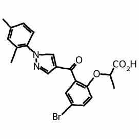 Cc1ccc(-n2cc(C(=O)c3cc(Br)ccc3OC(C)C(=O)O)cn2)c(C)c1